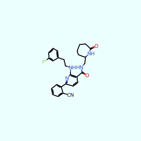 N#Cc1ccccc1-c1ccc(C(=O)NCC2CCCCC(=O)N2)c(NCCc2cccc(F)c2)n1